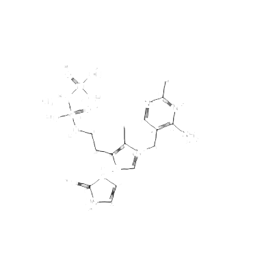 Cc1ncc(C[n+]2csc(CCOP(=O)(O)OP(=O)(O)O)c2C)c(N)n1.O=c1[nH]ccs1.[Cl-]